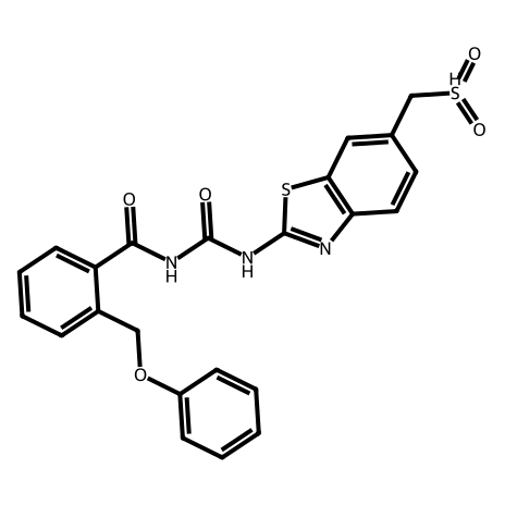 O=C(NC(=O)c1ccccc1COc1ccccc1)Nc1nc2ccc(C[SH](=O)=O)cc2s1